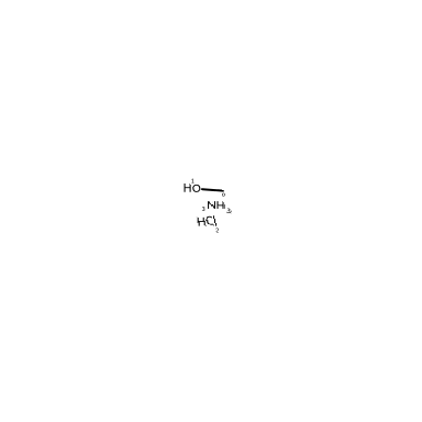 CO.Cl.N